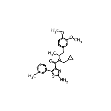 COc1ccc(CC(C)N(CC2CC2)C(=O)c2nc(N)sc2-c2cccc(C)c2)cc1OC